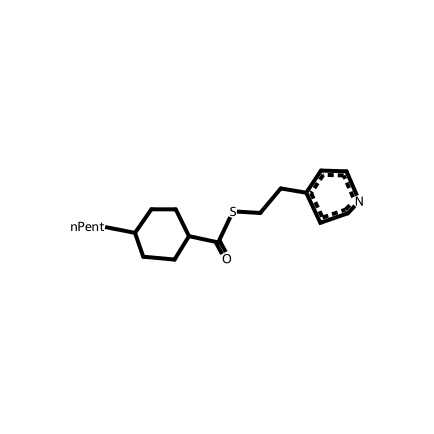 CCCCCC1CCC(C(=O)SCCc2ccncc2)CC1